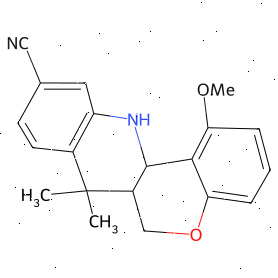 COc1cccc2c1C1Nc3cc(C#N)ccc3C(C)(C)C1CO2